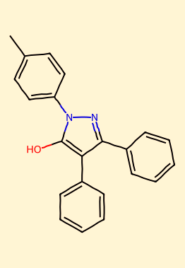 Cc1ccc(-n2nc(-c3ccccc3)c(-c3ccccc3)c2O)cc1